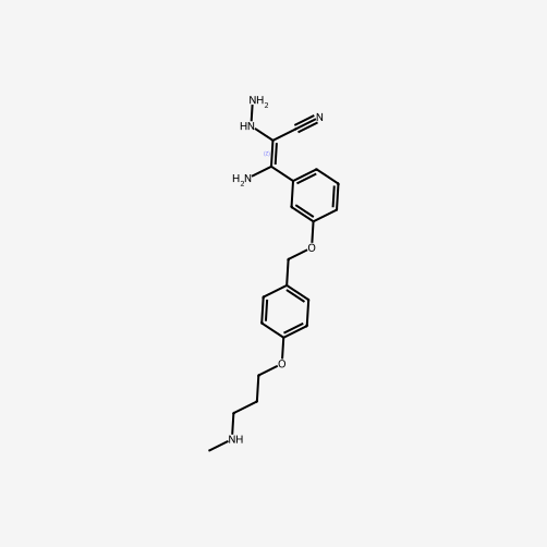 CNCCCOc1ccc(COc2cccc(/C(N)=C(\C#N)NN)c2)cc1